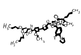 CCCCC[C@@H](C(=O)NCNC(=O)c1ccc(-c2ccc(C(=O)N[C@@H](CC(=O)OCCCC)C(=O)OCCCC)c(OCC)c2)o1)[C@@H](CC)N(C=O)OC(=O)c1ccc(N2CCCC2)c(F)c1